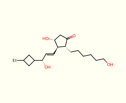 CCC1CC([C@@H](O)/C=C/[C@H]2[C@H](O)CC(=O)[C@@H]2CCCCCCO)C1